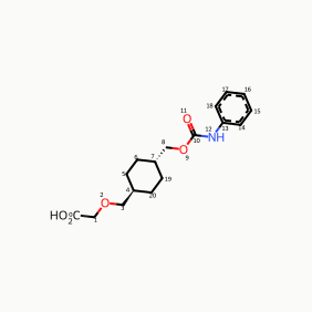 O=C(O)COC[C@H]1CC[C@H](COC(=O)Nc2ccccc2)CC1